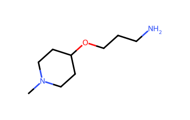 CN1CCC(OCCCN)CC1